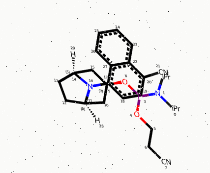 CC(C)N(C(C)C)P(OCCC#N)O[C@H]1C[C@H]2CC[C@@H](C1)N2c1ccc(C#N)c2ccccc12